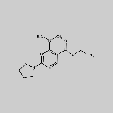 CCOC(=O)c1cnc(N2CCCC2)nc1N(C)C